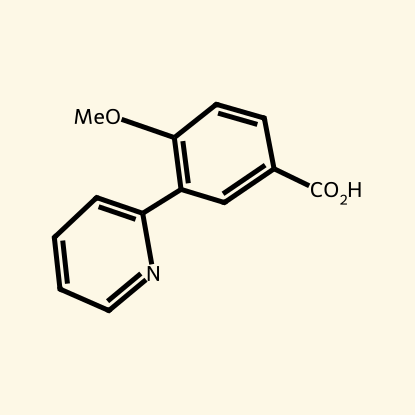 COc1ccc(C(=O)O)cc1-c1ccccn1